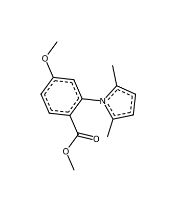 COC(=O)c1ccc(OC)cc1-n1c(C)ccc1C